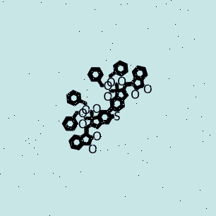 O=C1C(=O)c2ccccc2/C1=C/C1=Cc2cc3sc4cc5c(cc4c3cc2C1(C(=O)OCc1ccccc1)C(=O)OCc1ccccc1)C(C(=O)OCc1ccccc1)(C(=O)OCc1ccccc1)C(/C=C1\C(=O)C(=O)c2ccccc21)=C5